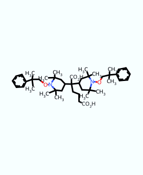 CC(C)(CON1C(C)(C)CC(C(CCCC(=O)O)(C(=O)O)C2CC(C)(C)N(OCC(C)(C)c3ccccc3)C(C)(C)C2)CC1(C)C)c1ccccc1